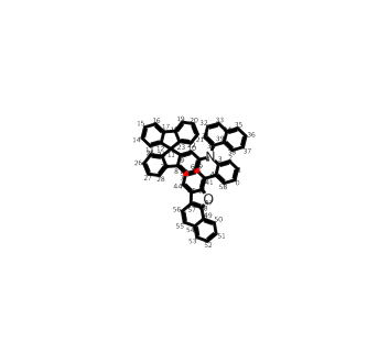 c1ccc(N(c2ccc3c(c2)C2(c4ccccc4-c4ccccc42)c2ccccc2-3)c2cccc3ccccc23)c(-c2cccc3c2oc2c4ccccc4ccc32)c1